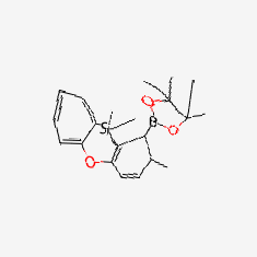 CC1C=CC2=C(C1B1OC(C)(C)C(C)(C)O1)[Si](C)(C)c1ccccc1O2